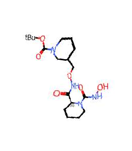 CC(C)(C)OC(=O)N1CCCC(CONC(=O)[C@@H]2CCCCN2C(=O)NO)C1